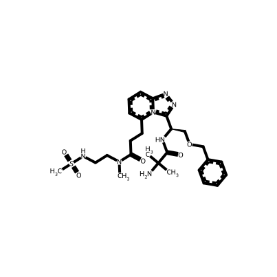 CN(CCNS(C)(=O)=O)C(=O)CCc1cccc2nnc([C@@H](COCc3ccccc3)NC(=O)C(C)(C)N)n12